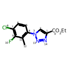 CCOC(=O)c1cn(-c2ccc(Cl)c(F)c2C)nn1